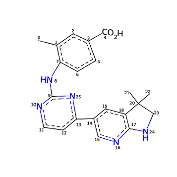 Cc1cc(C(=O)O)ccc1Nc1nccc(-c2cnc3c(c2)C(C)(C)CN3)n1